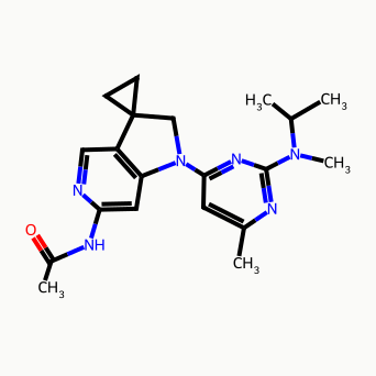 CC(=O)Nc1cc2c(cn1)C1(CC1)CN2c1cc(C)nc(N(C)C(C)C)n1